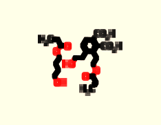 C=CC(=O)OCCCCO.C=CC(=O)OCCc1c(CCO)ccc(C(=O)O)c1C(=O)O